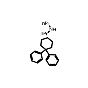 CCCNCCC.c1ccc(C2(c3ccccc3)CCCCC2)cc1